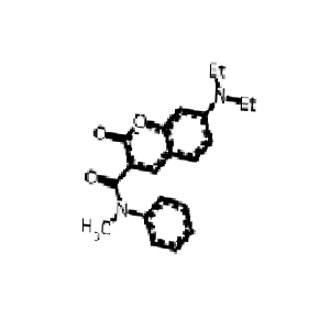 CCN(CC)c1ccc2cc(C(=O)N(C)c3ccccc3)c(=O)oc2c1